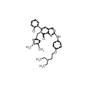 CCN(CC)CCOc1ccc(Nc2ncc3cc(-c4ccccc4Cl)n(Cc4cc(C)n(C)n4)c(=O)c3n2)cc1